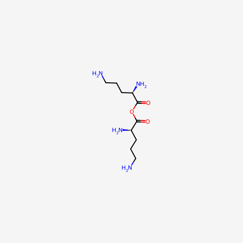 NCCC[C@@H](N)C(=O)OC(=O)[C@H](N)CCCN